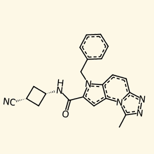 Cc1nnc2ccc3c(cc(C(=O)N[C@H]4C[C@@H](C#N)C4)n3Cc3ccccc3)n12